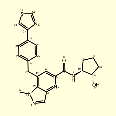 Cn1ncc2nc(C(=O)N[C@H]3CCC[C@@H]3O)cc(Cc3ccc(-c4cscn4)cc3)c21